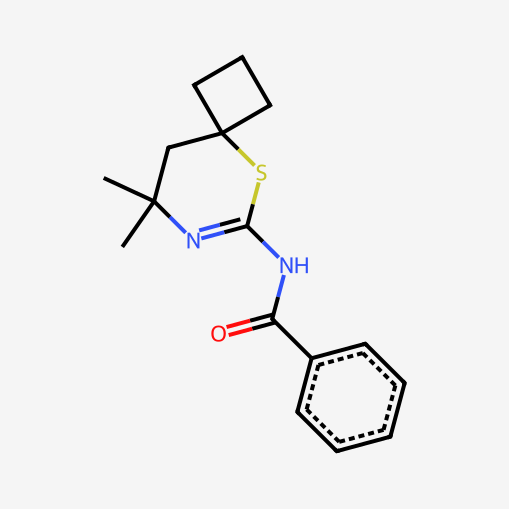 CC1(C)CC2(CCC2)SC(NC(=O)c2ccccc2)=N1